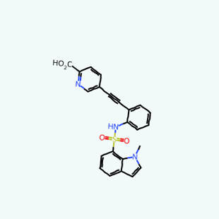 Cn1ccc2cccc(S(=O)(=O)Nc3ccccc3C#Cc3ccc(C(=O)O)nc3)c21